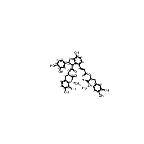 COC(=O)C(Cc1ccc(O)c(O)c1)OC(=O)C=Cc1ccc(O)c2c1C(C(=O)OC(Cc1ccc(O)c(O)c1)C(=O)OC)C(c1ccc(O)c(O)c1)O2